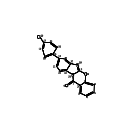 O=c1c2ccccc2oc2nc3cc(-c4ccc(Cl)cc4)ccc3n12